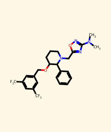 CN(C)c1noc(CN2CCCC(OCc3cc(C(F)(F)F)cc(C(F)(F)F)c3)C2c2ccccc2)n1